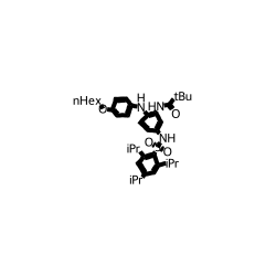 CCCCCCOc1ccc(Nc2ccc(NS(=O)(=O)c3c(C(C)C)cc(C(C)C)cc3C(C)C)cc2NC(=O)C(C)(C)C)cc1